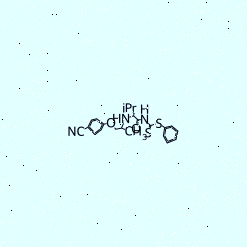 CC(COc1ccc(C#N)cc1)N[C@H](C(=O)NC(=S)Sc1ccccc1)C(C)C